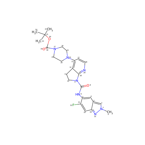 Cn1cc2cc(NC(=O)N3CCc4c(N5CCN(C(=O)OC(C)(C)C)CC5)ccnc43)c(F)cc2n1